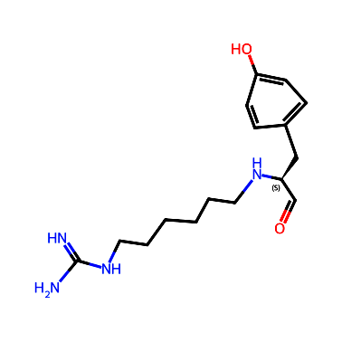 N=C(N)NCCCCCCN[C@H](C=O)Cc1ccc(O)cc1